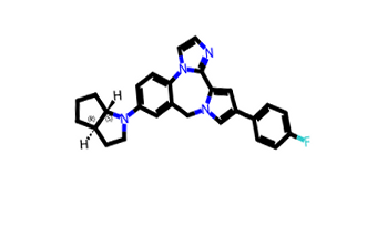 Fc1ccc(-c2cc3n(c2)Cc2cc(N4CC[C@H]5CCC[C@@H]54)ccc2-n2ccnc2-3)cc1